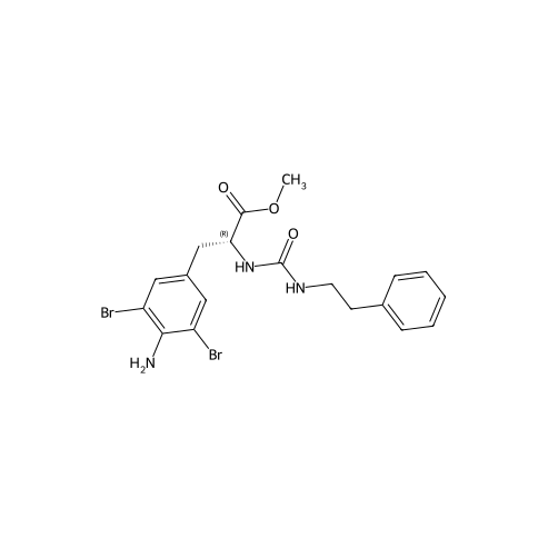 COC(=O)[C@@H](Cc1cc(Br)c(N)c(Br)c1)NC(=O)NCCc1ccccc1